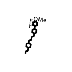 C/C=C/C1CCC(/C=C/CCc2ccc(-c3ccc(OC)c(F)c3F)cc2)CC1